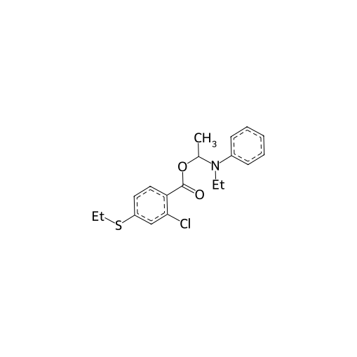 CCSc1ccc(C(=O)OC(C)N(CC)c2ccccc2)c(Cl)c1